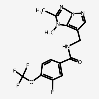 Cc1nn2ncc(CNC(=O)c3ccc(OC(F)(F)F)c(F)c3)c2n1C